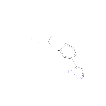 C[C@H](Oc1cccc(-c2ccn[nH]2)c1)C(=O)O